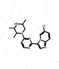 CC1CN(c2ccnc(-c3cnc4ccc(Cl)cn34)n2)C(C)C(C)N1